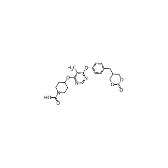 Cc1c(Oc2ccc(CC3COS(=O)OC3)cc2)ncnc1OC1CCN(C(=O)O)CC1